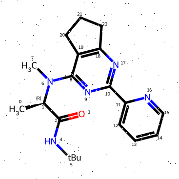 C[C@H](C(=O)NC(C)(C)C)N(C)c1nc(-c2ccccn2)nc2c1CCC2